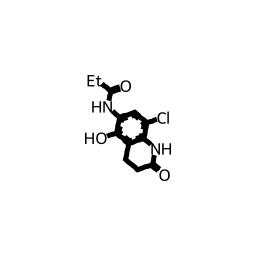 CCC(=O)Nc1cc(Cl)c2c(c1O)CCC(=O)N2